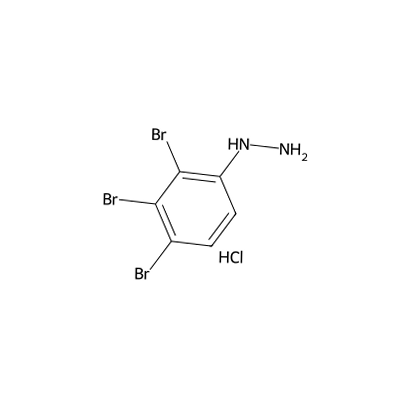 Cl.NNc1ccc(Br)c(Br)c1Br